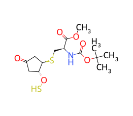 COC(=O)[C@H](CS[C@@H]1CC(=O)C[C@H]1OS)NC(=O)OC(C)(C)C